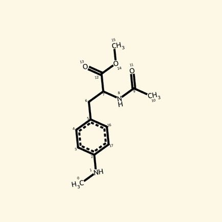 CNc1ccc(CC(NC(C)=O)C(=O)OC)cc1